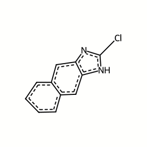 Clc1nc2cc3ccccc3cc2[nH]1